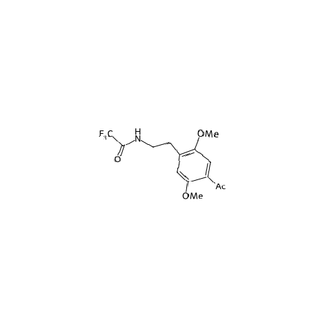 COc1cc(C(C)=O)c(OC)cc1CCNC(=O)C(F)(F)F